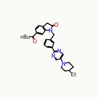 CCCCC(=O)c1ccc2c(c1)N(Cc1cccc(-c3ncc(N4CCC(CC)CC4)cn3)c1)C(=O)C2